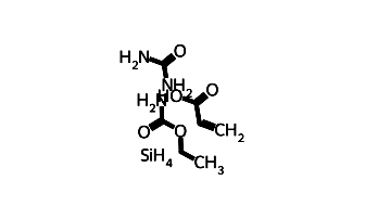 C=CC(=O)O.CCOC(N)=O.NC(N)=O.[SiH4]